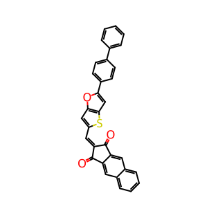 O=C1C(=Cc2cc3oc(-c4ccc(-c5ccccc5)cc4)cc3s2)C(=O)c2cc3ccccc3cc21